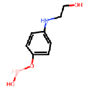 OBOc1ccc(NCCO)cc1